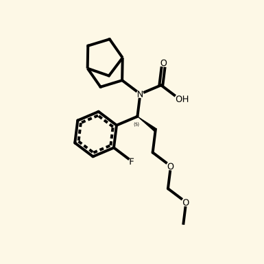 COCOCC[C@@H](c1ccccc1F)N(C(=O)O)C1CC2CCC1C2